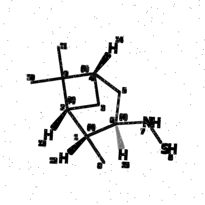 C[C@@H]1[C@H]2C[C@@H](C[C@H]1NS)C2(C)C